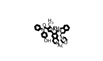 CC(=O)N1CCc2cc(-c3cc(C(=O)N(c4ccccc4)c4ccc(O)cc4)c(C)n3C)c(C(=O)N3Cc4ccccc4C[C@H]3CN3CCOCC3)cc2C1